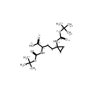 CC(C)(C)OC(=O)NC(CCC1(NC(=O)OC(C)(C)C)CC1)C(=O)O